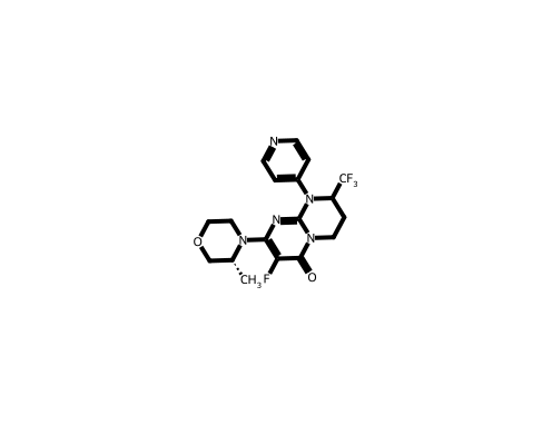 C[C@@H]1COCCN1c1nc2n(c(=O)c1F)CCC(C(F)(F)F)N2c1ccncc1